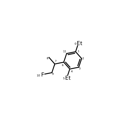 CCc1ccc(CC)c([C](C)CF)c1